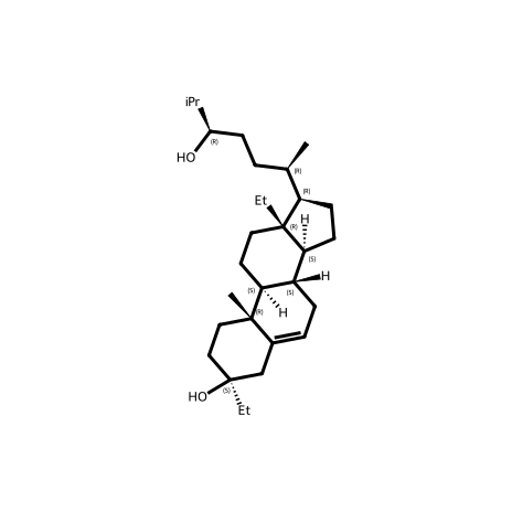 CC[C@]1(O)CC[C@@]2(C)C(=CC[C@H]3[C@@H]4CC[C@H]([C@H](C)CC[C@@H](O)C(C)C)[C@@]4(CC)CC[C@@H]32)C1